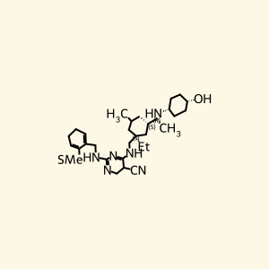 CC[C@]1(CNC2=NC(NCC3=CCCC=C3SC)=NCC2C#N)CC(C)C[C@H]([C@@H](C)N[C@H]2CC[C@@H](O)CC2)C1